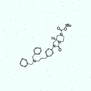 CC(C)(C)OC(=O)N1CCN2C(=O)N(c3ccc(CCCN(Cc4ccccc4)Cc4ccccc4)cc3)C[C@@H]2C1